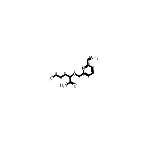 C=Cc1cccc(COC(CCCC)C(N)=O)n1